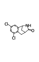 O=C1NC2CC1Cc1c(Cl)cc(Cl)cc12